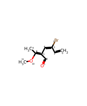 C=C/C(Br)=C\C(C=O)=C(/C)OC